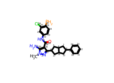 Cn1nc(C2CC3CC(c4ccccc4)CC3C2)c(C(=O)Nc2ccc(P)c(Cl)c2)c1N